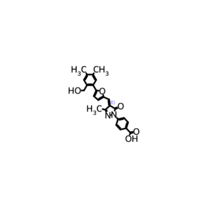 CC1=NN(c2ccc(C(=O)O)cc2)C(=O)/C1=C/c1ccc(-c2cc(C)c(C)cc2CO)o1